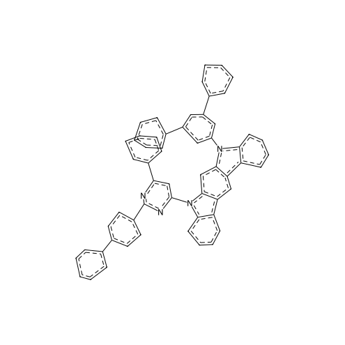 c1ccc(-c2ccc(-c3nc(-c4ccccc4)cc(-n4c5ccccc5c5cc6c7ccccc7n(-c7cc(-c8ccccc8)cc(-c8ccccc8)c7)c6cc54)n3)cc2)cc1